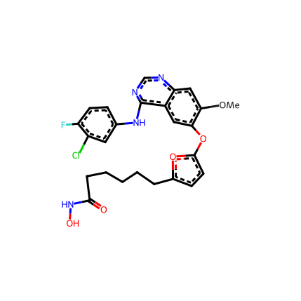 COc1cc2ncnc(Nc3ccc(F)c(Cl)c3)c2cc1Oc1ccc(CCCCCC(=O)NO)o1